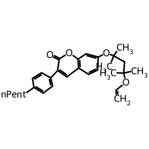 C=COC(C)(C)CC(C)(C)Oc1ccc2cc(-c3ccc(CCCCC)cc3)c(=O)oc2c1